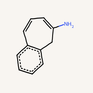 NC1=CC=Cc2ccccc2C1